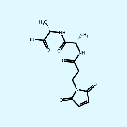 CCC(=O)[C@H](C)NC(=O)[C@H](C)NC(=O)CCN1C(=O)C=CC1=O